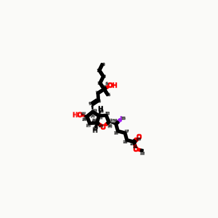 CCCCC(C)(O)CC=C[C@@H]1[C@H]2C[C@H](C(I)CCCC(=O)OC)O[C@@H]2C[C@H]1O